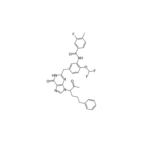 CC(=O)C(CCCc1ccccc1)n1cnc2c(=O)[nH]c(Cc3ccc(OC(F)F)c(NC(=O)c4ccc(C)c(F)c4)c3)nc21